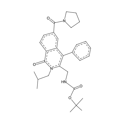 CC(C)Cn1c(CNC(=O)OC(C)(C)C)c(-c2ccccc2)c2cc(C(=O)N3CCCC3)ccc2c1=O